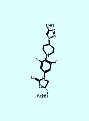 CC(=O)NC[C@H]1CN(c2cc(F)c(N3CCC(n4cc(C=O)nn4)CC3)c(F)c2)C(=O)O1